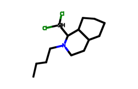 CCCCN1CCC2CCCCC2C1[SiH](Cl)Cl